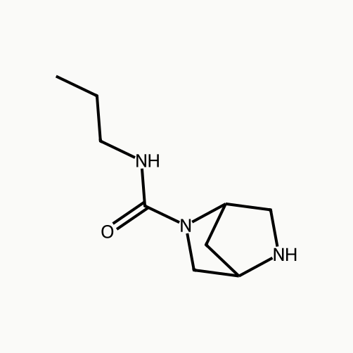 CCCNC(=O)N1CC2CC1CN2